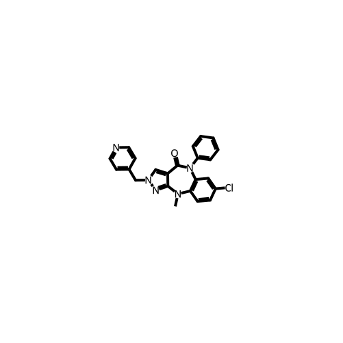 CN1c2ccc(Cl)cc2N(c2ccccc2)C(=O)c2cn(Cc3ccncc3)nc21